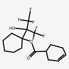 O=C(OC1(C(O)(C(F)(F)F)C(F)(F)F)CCCCC1)C1CC=CCC1